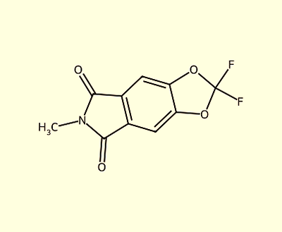 CN1C(=O)c2cc3c(cc2C1=O)OC(F)(F)O3